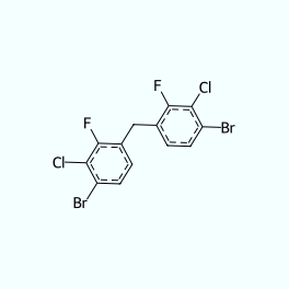 Fc1c(Cc2ccc(Br)c(Cl)c2F)ccc(Br)c1Cl